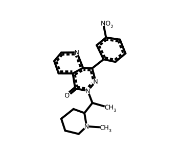 CC(C1CCCCN1C)n1nc(-c2cccc([N+](=O)[O-])c2)c2ncccc2c1=O